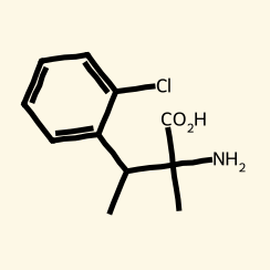 CC(c1ccccc1Cl)C(C)(N)C(=O)O